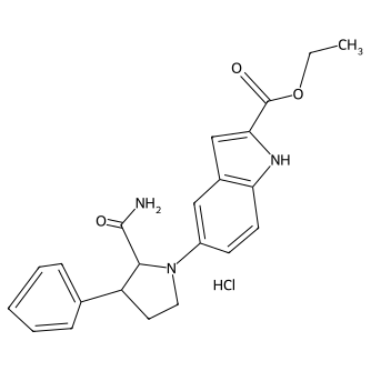 CCOC(=O)c1cc2cc(N3CCC(c4ccccc4)C3C(N)=O)ccc2[nH]1.Cl